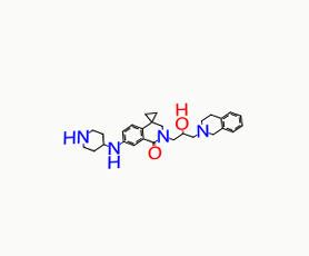 O=C1c2cc(NC3CCNCC3)ccc2C2(CC2)CN1CC(O)CN1CCc2ccccc2C1